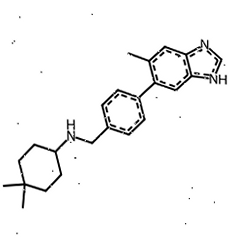 Cc1cc2nc[nH]c2cc1-c1ccc(CNC2CCC(C)(C)CC2)cc1